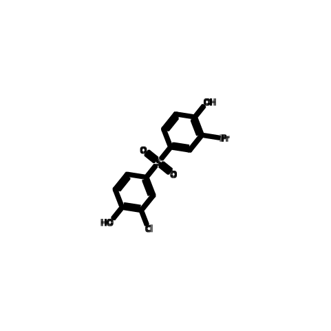 CC(C)c1cc(S(=O)(=O)c2ccc(O)c(Cl)c2)ccc1O